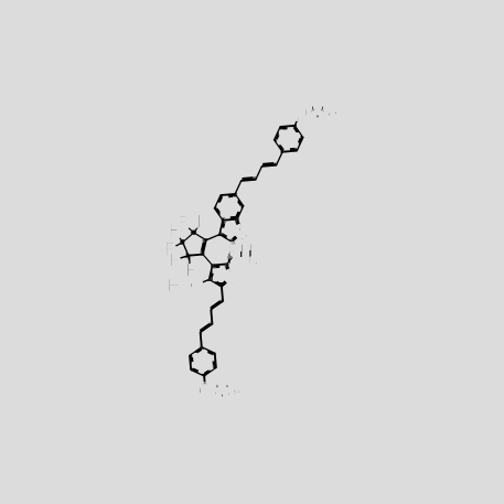 COc1ccc(C=CC=Cc2ccc3c(C4=C(c5c(C)sc(C=CC=Cc6ccc(OC)cc6)c5C)C(F)(F)C(F)(F)C4(F)F)c(C)sc3c2)cc1